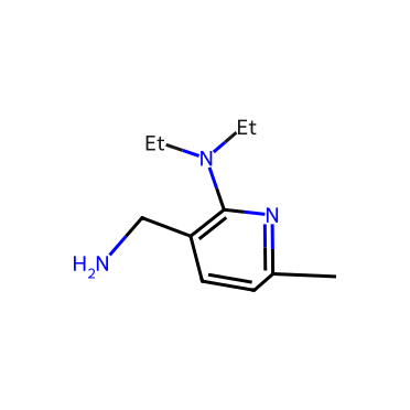 CCN(CC)c1nc(C)ccc1CN